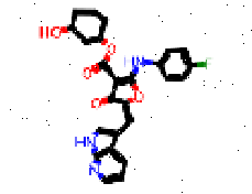 O=C(OC1CCCC(O)C1)C1=C(Nc2ccc(F)cc2)OC(=Cc2c[nH]c3ncccc23)C1=O